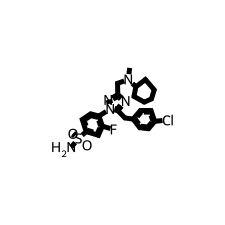 CN(Cc1nc(Cc2ccc(Cl)cc2)n(-c2ccc(S(N)(=O)=O)cc2F)n1)C1CCCCC1